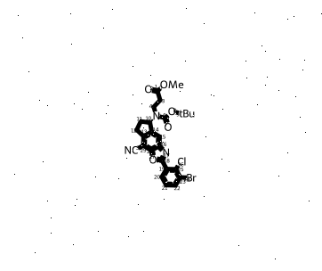 COC(=O)CCN(C(=O)OC(C)(C)C)[C@H]1CCc2c1cc1nc(-c3cccc(Br)c3Cl)oc1c2C#N